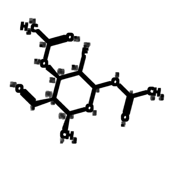 CC(=O)OC1O[C@@H](C)[C@@H](C=O)[C@@H](OC(C)=O)C1F